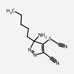 CCCCCC1(N)N=NC(C#N)=C1SC#N